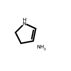 C1=CNCC1.N